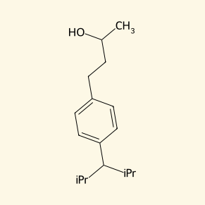 CC(O)CCc1ccc(C(C(C)C)C(C)C)cc1